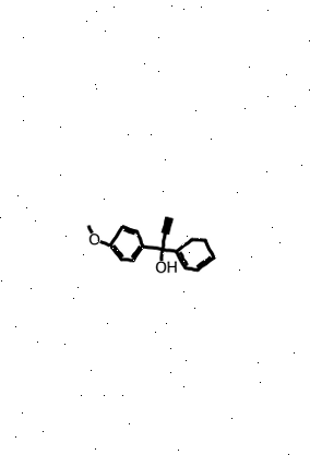 C#CC(O)(C1=CC=CCC1)c1ccc(OC)cc1